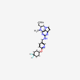 COC[C@H]1Cn2ccc3nc(NCc4ccc(OC5CCC(F)(F)CC5)nc4)nc(c32)N1C